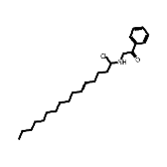 CCCCCCCCCCCCCCCC(Cl)NCC(=O)c1ccccc1